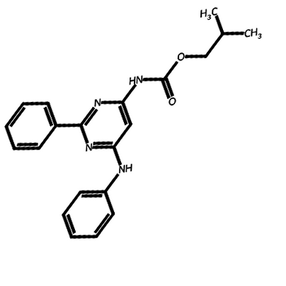 CC(C)COC(=O)Nc1cc(Nc2ccccc2)nc(-c2ccccc2)n1